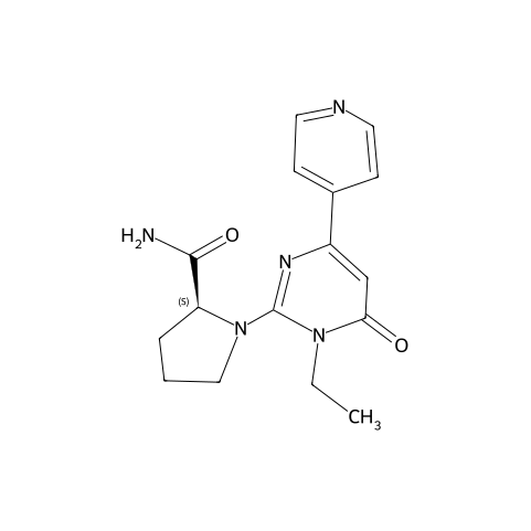 CCn1c(N2CCC[C@H]2C(N)=O)nc(-c2ccncc2)cc1=O